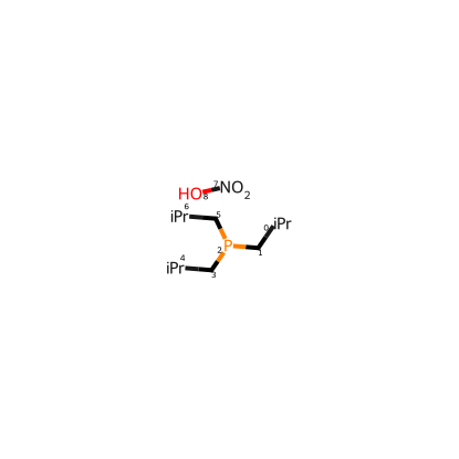 CC(C)CP(CC(C)C)CC(C)C.O=[N+]([O-])O